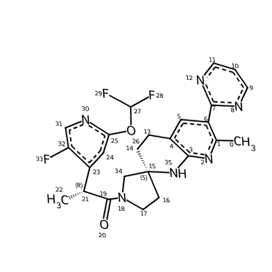 Cc1nc2c(cc1-c1ncccn1)CC[C@@]1(CCN(C(=O)[C@H](C)c3cc(OC(F)F)ncc3F)C1)N2